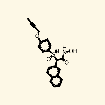 CC#CCOc1ccc(S(=O)(=O)C(C(=O)NO)c2ccc3ccccc3c2)cc1